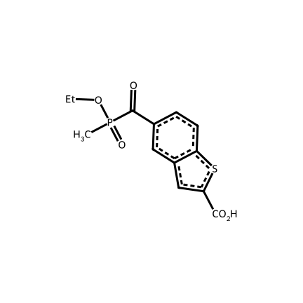 CCOP(C)(=O)C(=O)c1ccc2sc(C(=O)O)cc2c1